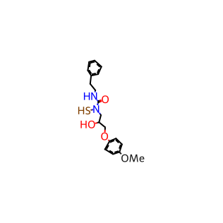 COc1ccc(OCC(O)CN(S)C(=O)NCCc2ccccc2)cc1